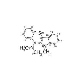 CN(C)Cc1ccccc1Sc1cn(C)c2ccccc12